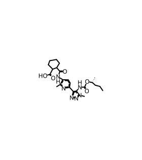 CCC[C@@H](C)OC(=O)Nc1c(-c2ccc(NC(=O)C3CCCCC3C(=O)O)c(C)n2)nnn1C